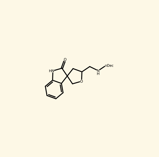 CCCCCCCCCCNCC1CC2(CO1)C(=O)Nc1ccccc12